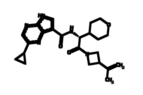 C=C(C)C1CN(C(=O)[C@H](NC(=O)c2c[nH]c3ncc(C4CC4)nc23)C2CCOCC2)C1